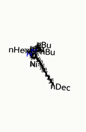 CCCCCCCCCCCCCCCCCCCCCCCCCc1ccc(N=C(CCCCCC)C(CCCC)=Nc2cc(CCCC)cc(CCCC)c2)cc1.[Ni]